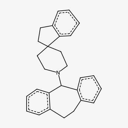 c1ccc2c(c1)CCc1ccccc1C2N1CCC2(CCc3ccccc32)CC1